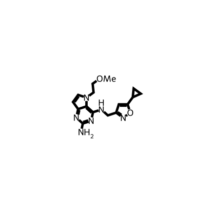 COCCn1ccc2nc(N)nc(NCc3cc(C4CC4)on3)c21